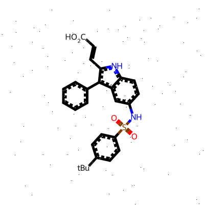 CC(C)(C)c1ccc(S(=O)(=O)Nc2ccc3[nH]c(C=CC(=O)O)c(-c4ccccc4)c3c2)cc1